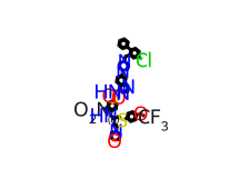 O=[N+]([O-])c1cc(S(=O)(=O)Nc2ncnc3cc(N4CCN(Cc5cc(Cl)ccc5-c5ccccc5)CC4)ccc23)ccc1N[C@H](CCN1CCOCC1)CSc1ccc(OC(F)(F)F)cc1